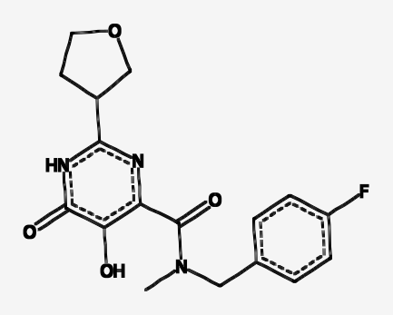 CN(Cc1ccc(F)cc1)C(=O)c1nc(C2CCOC2)[nH]c(=O)c1O